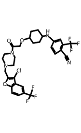 N#Cc1ccc(NC2CCC(OCC(=O)N3CCN(Cc4oc5ccc(C(F)(F)F)cc5c4Cl)CC3)CC2)cc1C(F)(F)F